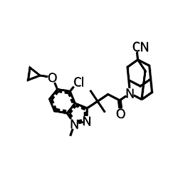 Cn1nc(C(C)(C)CC(=O)N2C3CC4CC2CC(C#N)(C4)C3)c2c(Cl)c(OC3CC3)ccc21